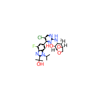 [2H][C@@H]1[C@@H](Nc2ncc(Cl)c(-c3cc(F)c4nc(C(C)(C)O)n(C(C)C)c4c3)n2)[C@H](O)[C@@H]2OC[C@H]1O2